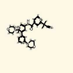 CC(C)(C#N)c1cc(C(=O)NC2=CNC(C)(N3CCOCC3)C(c3ccnc(N4CCOCC4)c3)=C2)ccn1